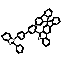 c1ccc(-c2nc3ccccc3n2-c2ccc(-c3cccc(-c4nc5ccccc5c5cc6c(cc45)C4(c5ccccc5-c5ccccc54)c4ccccc4-6)c3)cc2)cc1